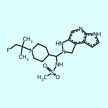 CC(C)(CF)N1CCC(C(NS(C)(=O)=O)N2Cc3c(cnc4[nH]ccc34)N2)CC1